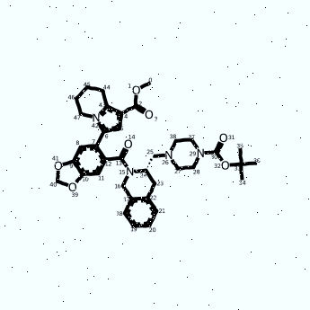 COC(=O)c1cc(-c2cc3c(cc2C(=O)N2Cc4ccccc4C[C@H]2CN2CCN(C(=O)OC(C)(C)C)CC2)OCO3)n2c1CCCC2